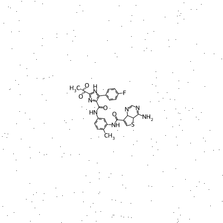 Cc1ccc(NC(=O)c2nc(S(C)(=O)=O)[nH]c2-c2ccc(F)cc2)cc1NC(=O)C1=CSC2C(N)=NC=NC12